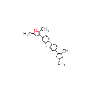 CC1=CC(C)=C(c2ccc3c(c2)Cc2cc(-c4cc(C)oc4C)ccc2-3)C1